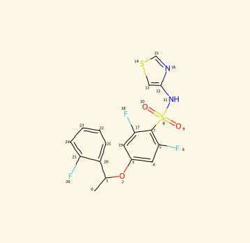 CC(Oc1cc(F)c(S(=O)(=O)Nc2cscn2)c(F)c1)c1ccccc1F